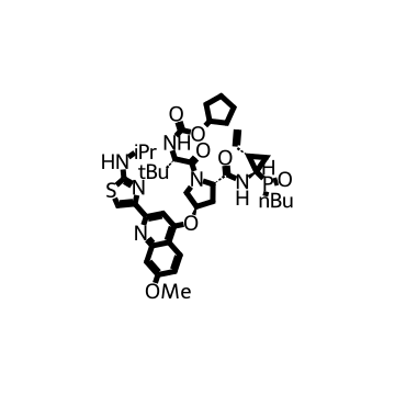 C=C[C@@H]1C[C@]1(NC(=O)[C@@H]1C[C@@H](Oc2cc(-c3csc(NC(C)C)n3)nc3cc(OC)ccc23)CN1C(=O)[C@@H](NC(=O)OC1CCCC1)C(C)(C)C)[PH](=O)CCCC